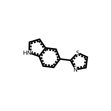 c1csc(-c2ccc3[nH]ccc3c2)n1